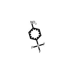 O=[N+]([O-])c1ccc(S(F)(F)F)cc1